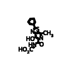 Cc1nc(C(=O)NCC(=O)O)c(O)c2nc(-c3ccccc3)sc12